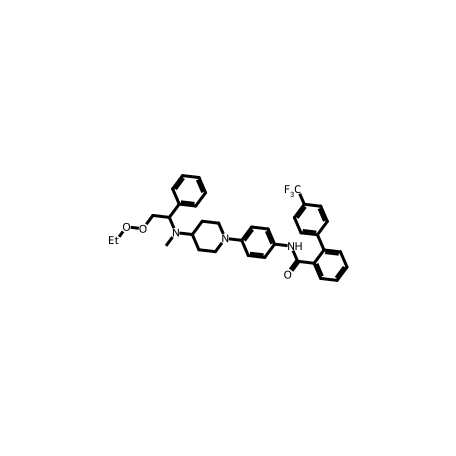 CCOOCC(c1ccccc1)N(C)C1CCN(c2ccc(NC(=O)c3ccccc3-c3ccc(C(F)(F)F)cc3)cc2)CC1